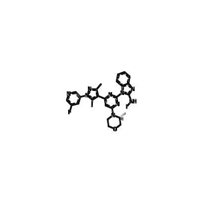 Cc1nn(-c2cncc(F)c2)c(C)c1-c1cc(N2CCOC[C@H]2C)nc(-n2c(NI)nc3ccccc32)n1